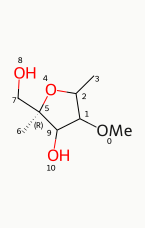 COC1C(C)O[C@](C)(CO)C1O